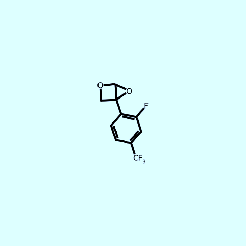 Fc1cc(C(F)(F)F)ccc1C12COC1O2